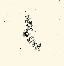 Cn1nc(OC(F)(F)F)cc1C(=O)Nc1cc([C@H]2C[C@@H](OC(=O)NC3(C)CC3)CO2)[nH]n1